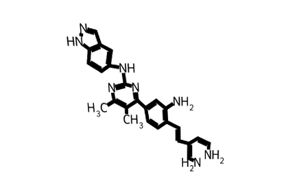 Cc1nc(Nc2ccc3[nH]ncc3c2)nc(-c2ccc(/C=C/C(/C=C\N)=C/N)c(N)c2)c1C